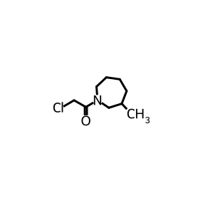 CC1CCCCN(C(=O)CCl)C1